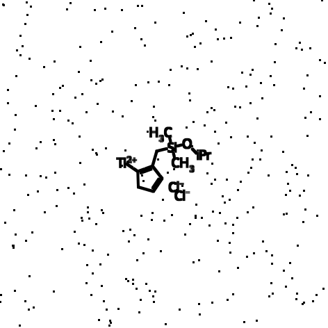 CC(C)O[Si](C)(C)CC1=[C]([Ti+2])CC=C1.[Cl-].[Cl-]